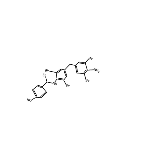 CCC(Nc1c(C(C)C)cc(Cc2cc(C(C)C)c(N)c(C(C)C)c2)cc1C(C)C)c1ccc(O)cc1